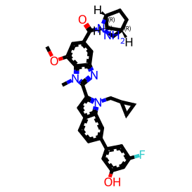 COc1cc(C(=O)N2C[C@H]3CC[C@@H]2[C@@H]3N)cc2nc(-c3cc4ccc(-c5cc(O)cc(F)c5)cc4n3CC3CC3)n(C)c12